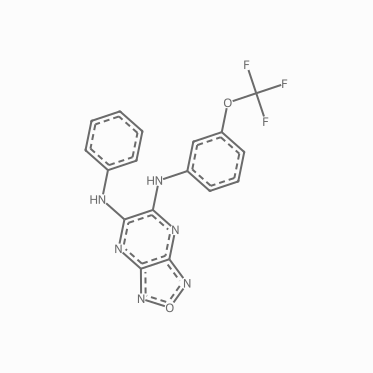 FC(F)(F)Oc1cccc(Nc2nc3nonc3nc2Nc2ccccc2)c1